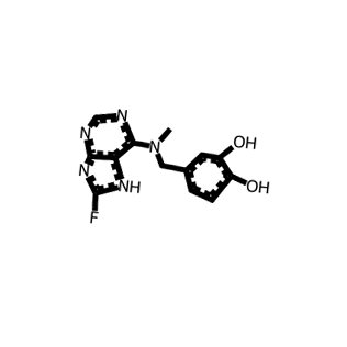 CN(Cc1ccc(O)c(O)c1)c1ncnc2nc(F)[nH]c12